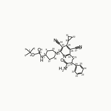 CC(C)(C)OC(=O)NC1CCN(c2nc(SC(C(N)=O)c3ccccc3)c(C#N)c(C3CC3)c2C#N)CC1